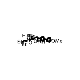 CCN(CC)CCNC(=O)c1cc(C=C2C(=O)Nc3cc(-c4ccc(OC)cc4)ccc32)[se]c1C